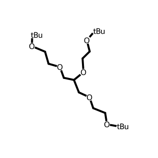 CC(C)(C)OCCOCC(COCCOC(C)(C)C)OCCOC(C)(C)C